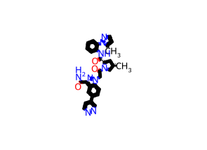 Cc1ccnn1-c1ccccc1NC(=O)[C@@H]1C[C@@H](C)CN1C(=O)Cn1nc(C(N)=O)c2cc(-c3ccnnc3)ccc21